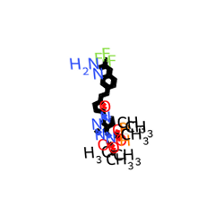 CC(C)(C)OC(=O)N(C(=O)O[PH](C)(C)C)c1ncnc2c1ccn2C1CCC(CCc2ccc3cc(C(F)(F)F)c(N)nc3c2)O1